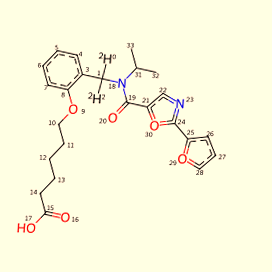 [2H]C([2H])(c1ccccc1OCCCCCC(=O)O)N(C(=O)c1cnc(-c2ccco2)o1)C(C)C